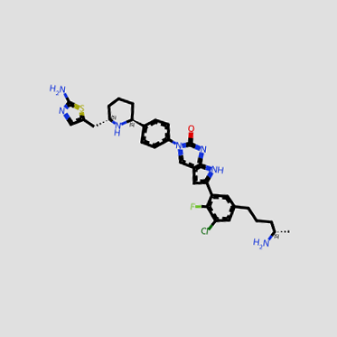 C[C@H](N)CCCc1cc(Cl)c(F)c(-c2cc3cn(-c4ccc([C@@H]5CCC[C@@H](Cc6cnc(N)s6)N5)cc4)c(=O)nc3[nH]2)c1